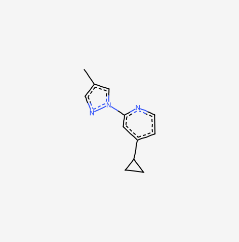 Cc1cnn(-c2cc(C3CC3)ccn2)c1